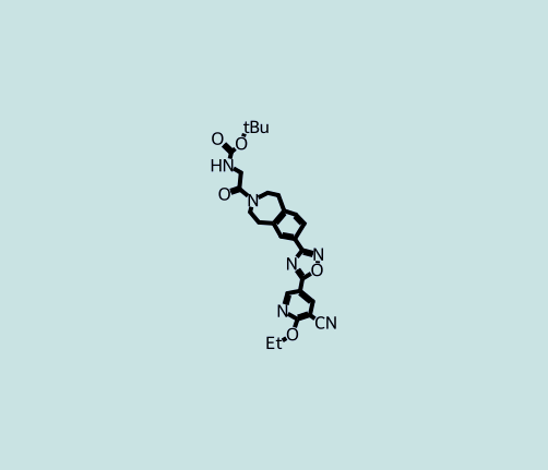 CCOc1ncc(-c2nc(-c3ccc4c(c3)CCN(C(=O)CNC(=O)OC(C)(C)C)CC4)no2)cc1C#N